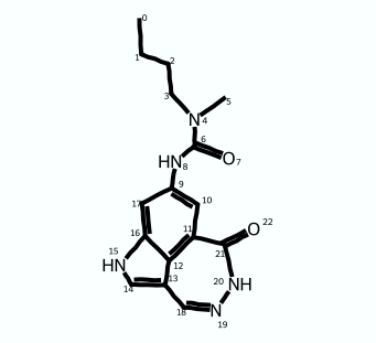 CCCCN(C)C(=O)Nc1cc2c3c(c[nH]c3c1)C=NNC2=O